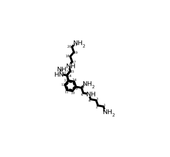 NCCCCNCC(N)c1cccc(C(CNCCCCN)NN)c1